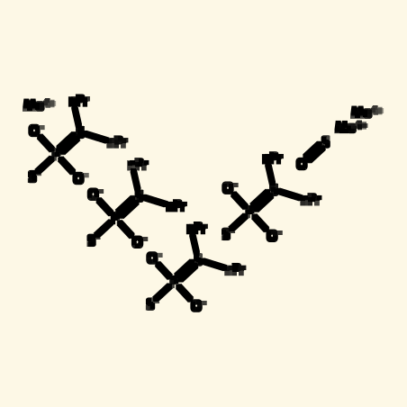 CCCS(CCC)=P([O-])([O-])[S-].CCCS(CCC)=P([O-])([O-])[S-].CCCS(CCC)=P([O-])([O-])[S-].CCCS(CCC)=P([O-])([O-])[S-].O=S.[Mo+4].[Mo+4].[Mo+4]